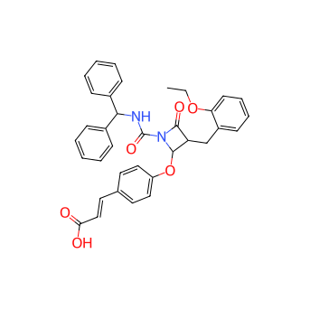 CCOc1ccccc1CC1C(=O)N(C(=O)NC(c2ccccc2)c2ccccc2)C1Oc1ccc(/C=C/C(=O)O)cc1